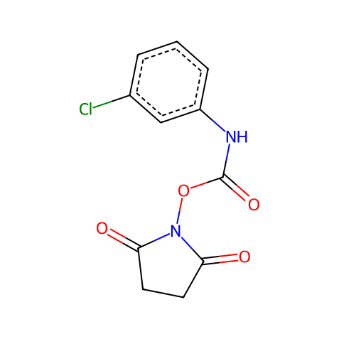 O=C(Nc1cccc(Cl)c1)ON1C(=O)CCC1=O